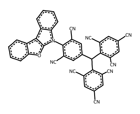 N#Cc1cc(C#N)c(C(c2cc(C#N)c(-n3c4ccccc4c4c5ccccc5oc43)c(C#N)c2)c2c(C#N)cc(C#N)cc2C#N)c(C#N)c1